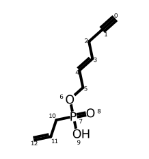 C#CCC=CCOP(=O)(O)CC=C